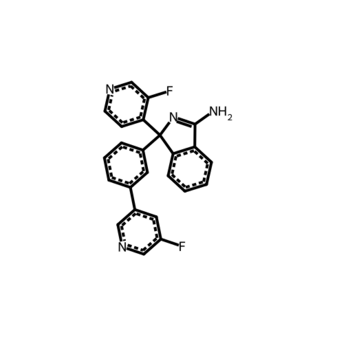 NC1=NC(c2cccc(-c3cncc(F)c3)c2)(c2ccncc2F)c2ccccc21